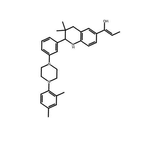 CC=C(O)c1ccc2c(c1)CC(C)(C)C(c1cccc(N3CCN(c4ccc(C)cc4C)CC3)c1)N2